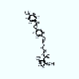 O=C(CCCCCOc1ccc(OCc2ccc(Cl)cc2)cc1)C1=C(O)COC1=O